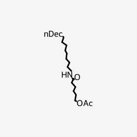 CCCCCCCCCCCCCCCCCCCNC(=O)CCCCCOC(C)=O